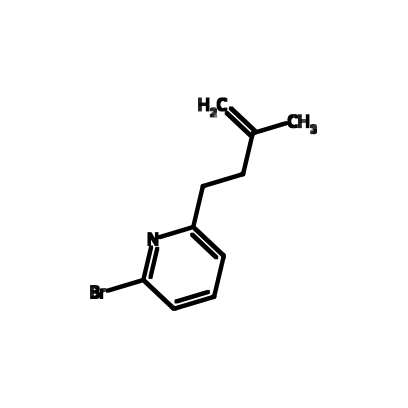 C=C(C)CCc1cccc(Br)n1